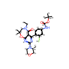 CCN1CC(C)(C)Oc2nc(N3CCOC[C@@H]3C)nc(-c3ccc(NC(=O)OC(C)(C)C)cc3F)c2C1=O